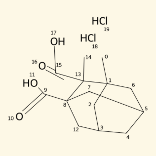 CC12CC3CC(C1)CC(C(=O)O)(C3)C2(C)C(=O)O.Cl.Cl